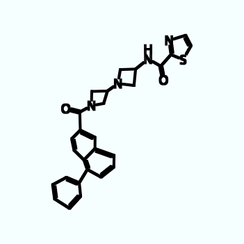 O=C(NC1CN(C2CN(C(=O)c3ccc4c(-c5ccccc5)cccc4c3)C2)C1)c1nccs1